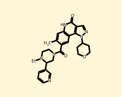 CCN1CCN(C(=O)c2cc3c(cc2C)[nH]c(=O)c2cnn(C4CCOCC4)c23)CC1c1cccnc1